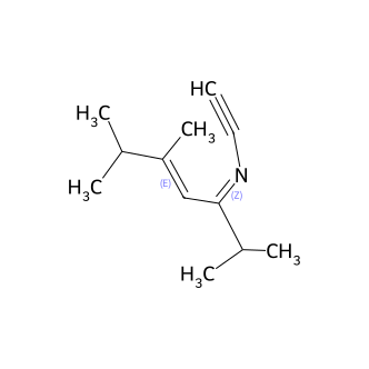 C#C/N=C(\C=C(/C)C(C)C)C(C)C